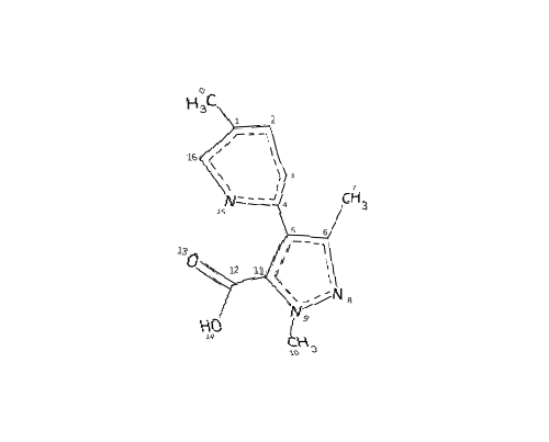 Cc1ccc(-c2c(C)nn(C)c2C(=O)O)nc1